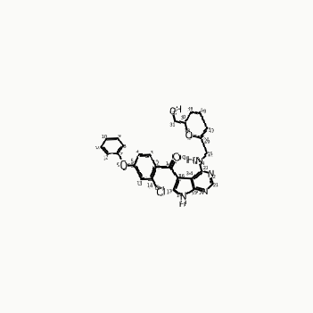 O=C(c1ccc(Oc2ccccc2)cc1Cl)c1c[nH]c2ncnc(NCC3CCCC(CO)O3)c12